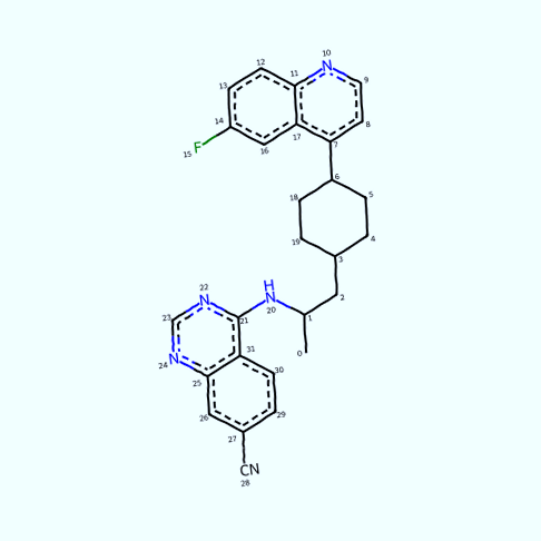 CC(CC1CCC(c2ccnc3ccc(F)cc23)CC1)Nc1ncnc2cc(C#N)ccc12